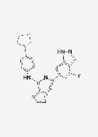 Fc1cc(-c2cn3ccnc3c(Nc3ccc(N4CCCC4)cc3)n2)cc2[nH]ncc12